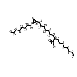 CCCCCCCCC(CCCCCCCC1C[C@H]1CCCCCCCC)N(C)C